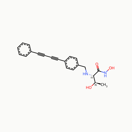 C[C@@H](O)[C@H](NCc1ccc(C#CC#Cc2ccccc2)cc1)C(=O)NO